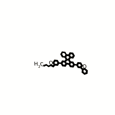 C=CCCc1cc2cc(-c3ccc4c5ccc(-c6ccc7oc8ccccc8c7c6)cc5c5c6ccccc6c6c(c5c4c3)C=CCC6)ccc2o1